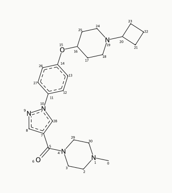 CN1CCN(C(=O)c2cnn(-c3ccc(OC4CCN(C5CCC5)CC4)cc3)c2)CC1